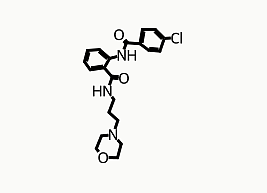 O=C(Nc1ccccc1C(=O)NCCCN1CCOCC1)c1ccc(Cl)cc1